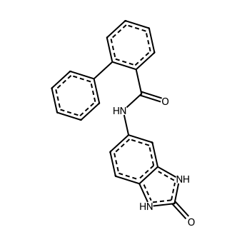 O=C(Nc1ccc2[nH]c(=O)[nH]c2c1)c1ccccc1-c1ccccc1